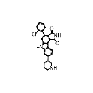 Cn1c2cc(C3CCCNC3)ccc2c2c3c(c(-c4ccccc4Cl)cc21)C(=O)NC3=O